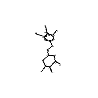 Cc1cc(CCC2CC(C)C(C)C(C)C2)cc(C)c1C